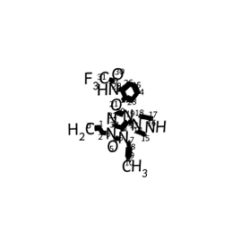 C=CCn1c(=O)n(CC#CC)c2c(N3CCNCC3)nc(Oc3ccccc3NC(=O)C(F)(F)F)nc21